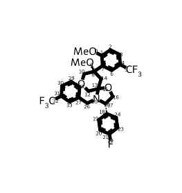 COc1ccc(C(F)(F)F)cc1[C@@]1(OC)COCC2(C1)OC[C@H](c1ccc(F)cc1)N2Cc1cccc(C(F)(F)F)c1